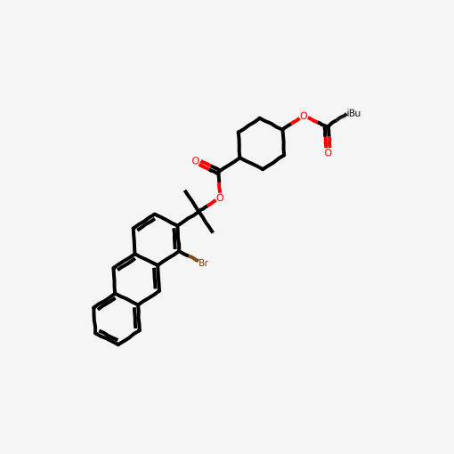 CCC(C)C(=O)OC1CCC(C(=O)OC(C)(C)c2ccc3cc4ccccc4cc3c2Br)CC1